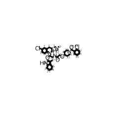 CN(C)C[C@H]1Cc2cc(Cl)ccc2N(C(=O)[C@@H](Cc2c[nH]c3ccccc23)NC(=O)COC2CCN(C(=O)c3ccccc3Cl)CC2)C1